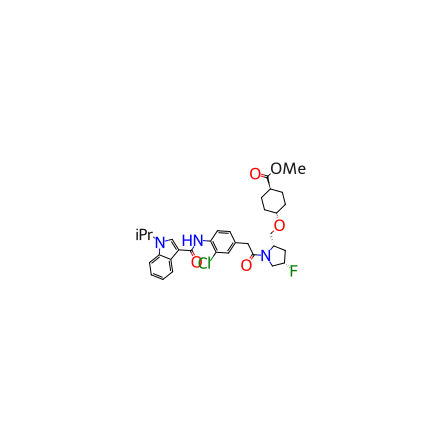 COC(=O)[C@H]1CC[C@H](OC[C@@H]2C[C@H](F)CN2C(=O)Cc2ccc(NC(=O)c3cn(C(C)C)c4ccccc34)c(Cl)c2)CC1